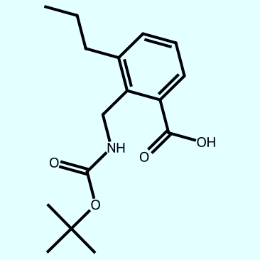 CCCc1cccc(C(=O)O)c1CNC(=O)OC(C)(C)C